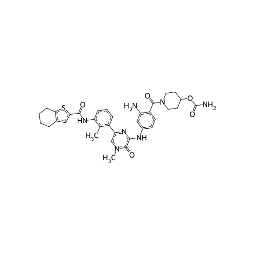 Cc1c(NC(=O)c2cc3c(s2)CCCC3)cccc1-c1cn(C)c(=O)c(Nc2ccc(C(=O)N3CCC(OC(N)=O)CC3)c(N)c2)n1